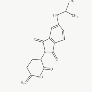 C=C1CCC(N2C(=O)c3ccc(NC(C)C)cc3C2=O)C(=O)N1